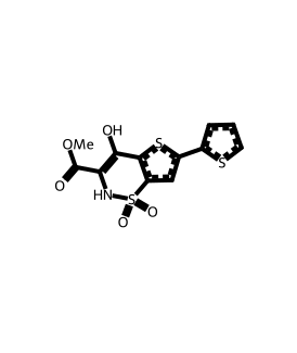 COC(=O)C1=C(O)c2sc(-c3cccs3)cc2S(=O)(=O)N1